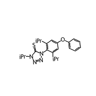 CC(C)c1cc(Oc2ccccc2)cc(C(C)C)c1-n1nnn(C(C)C)c1=S